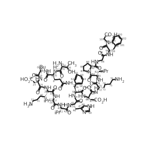 CC[C@H](C)[C@H](NC(=O)[C@H](CCC(N)=O)NC(=O)[C@@H](N)[C@@H](C)O)C(=O)N[C@@H](CC(=O)O)C(=O)N[C@@H](CCCCN)C(=O)N[C@H](C(=O)N[C@H](C(=O)N[C@@H](Cc1c[nH]cn1)C(=O)N[C@@H](Cc1ccccc1)C(=O)N[C@@H](CC(=O)O)C(=O)N[C@@H](CCCCN)C(=O)N[C@@H](CC(C)C)C(=O)N1CCC[C@H]1C(=O)NCC(=O)N[C@@H](Cc1ccccc1)C(=O)NCC(=O)O)C(C)C)C(C)C